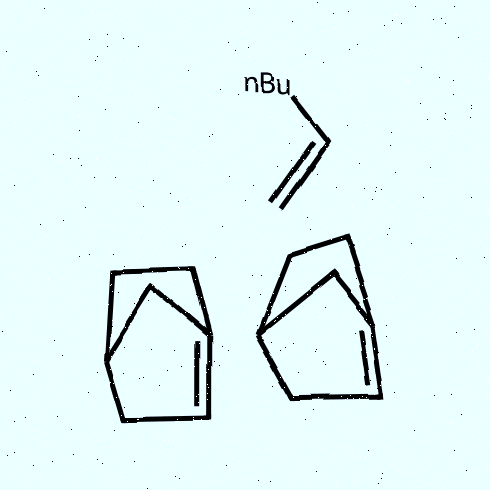 C1=C2CCC(C1)C2.C1=C2CCC(C1)C2.C=CCCCC